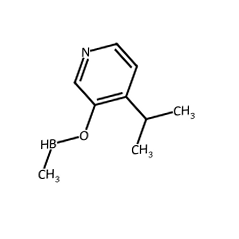 CBOc1cnccc1C(C)C